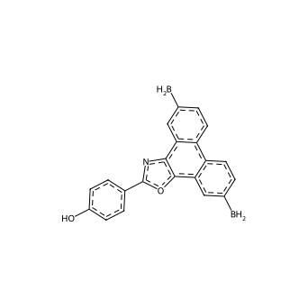 Bc1ccc2c3ccc(B)cc3c3oc(-c4ccc(O)cc4)nc3c2c1